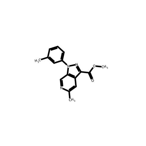 COC(=O)c1nn(-c2cccc(C)c2)c2cnc(C)cc12